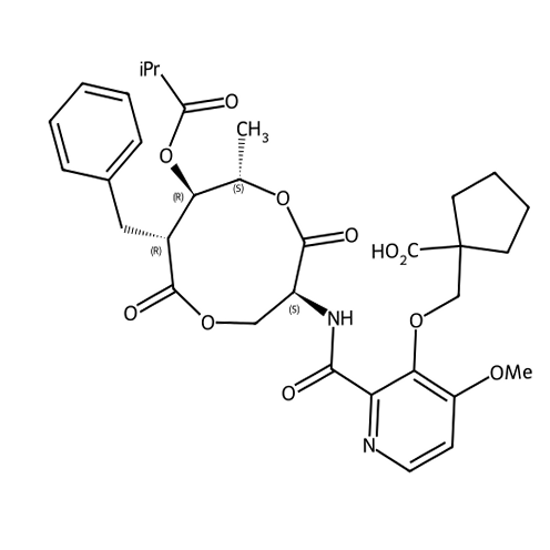 COc1ccnc(C(=O)N[C@H]2COC(=O)[C@H](Cc3ccccc3)[C@@H](OC(=O)C(C)C)[C@H](C)OC2=O)c1OCC1(C(=O)O)CCCC1